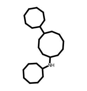 C1CCCC(NC2CCCCCC(C3CCCCCCC3)CCC2)CCC1